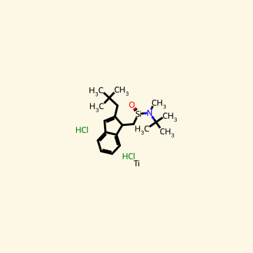 CN([Si](=O)CC1C(CC(C)(C)C)=Cc2ccccc21)C(C)(C)C.Cl.Cl.[Ti]